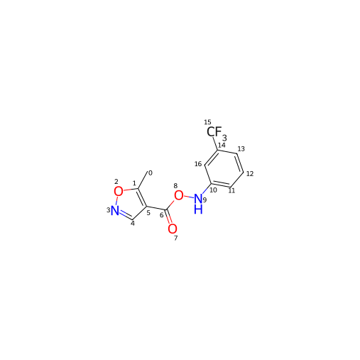 Cc1oncc1C(=O)ONc1cccc(C(F)(F)F)c1